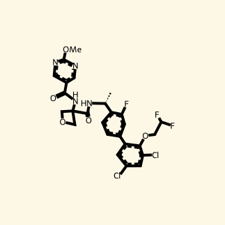 COc1ncc(C(=O)NC2(C(=O)N[C@H](C)c3ccc(-c4cc(Cl)cc(Cl)c4OCC(F)F)cc3F)COC2)cn1